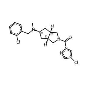 CN(Cc1ccccc1Cl)[C@H]1C[C@@H]2CN(C(=O)n3cc(Cl)cn3)C[C@@H]2C1